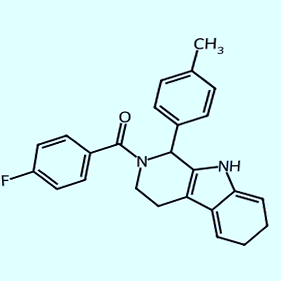 Cc1ccc(C2c3[nH]c4c(c3CCN2C(=O)c2ccc(F)cc2)=CCCC=4)cc1